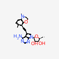 [CH2][C@@H]1O[C@@H](n2cc(C#Cc3c(C)ccc4c3OCCN4C)c3c(N)ncnc32)[C@H](O)[C@@H]1O